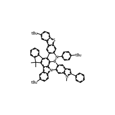 Cn1c(-c2ccccc2)cc2cc3c(cc21)-n1c2ccc(C(C)(C)C)cc2c2c4c(c5c(c21)B3N(c1ccc(C(C)(C)C)cc1)c1cc2sc3ccc(C(C)(C)C)cc3c2cc1-5)-c1ccccc1C4(C)C